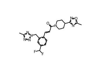 Cc1nnn(Cc2cc(C(F)F)ccc2C=CC(=O)N2CCC(c3noc(C)n3)CC2)n1